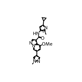 COc1cc(-c2cnn(C)c2)cn2ncc(C(=O)Nc3cc(C4CC4)nn3C)c12